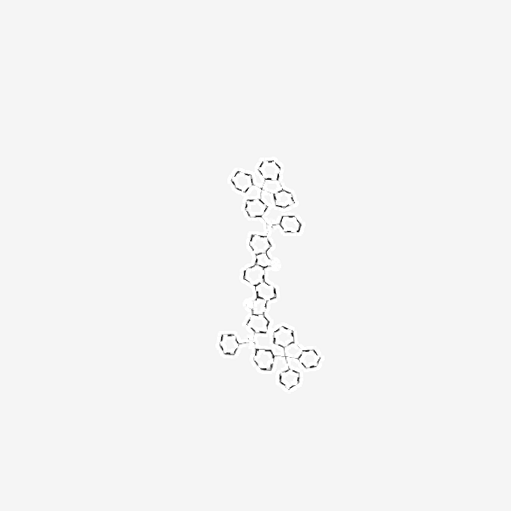 c1ccc(N(c2cccc(C3(c4ccccc4)c4ccccc4-c4ccccc43)c2)c2ccc3c(c2)oc2c3ccc3c2ccc2c4ccc(N(c5ccccc5)c5cccc(C6(c7ccccc7)c7ccccc7-c7ccccc76)c5)cc4oc23)cc1